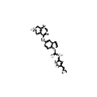 CC(C)Cc1cc(NC(=O)n2ccc3cc(Oc4ncnc5c4CNC5)ccc32)no1